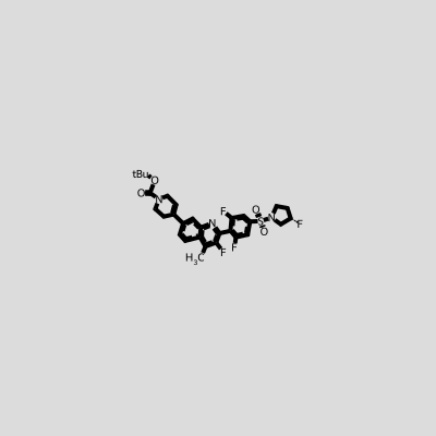 Cc1c(F)c(-c2c(F)cc(S(=O)(=O)N3CC[C@H](F)C3)cc2F)nc2cc(C3=CCN(C(=O)OC(C)(C)C)CC3)ccc12